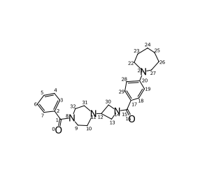 O=C(c1ccccc1)N1CCN(C2CN(C(=O)c3ccc(N4CCCCCC4)cc3)C2)CC1